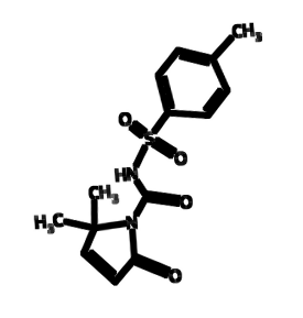 Cc1ccc(S(=O)(=O)NC(=O)N2C(=O)C=CC2(C)C)cc1